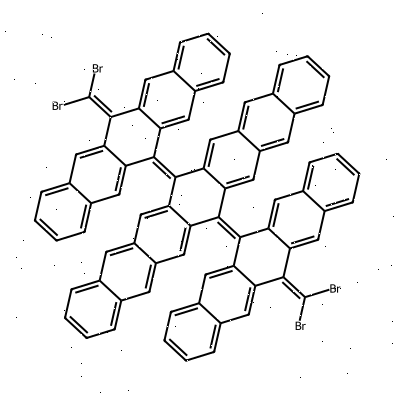 BrC(Br)=c1c2cc3ccccc3cc2c(=c2c3cc4cc5ccccc5cc4cc3c(=c3c4cc5ccccc5cc4c(=C(Br)Br)c4cc5ccccc5cc34)c3cc4cc5ccccc5cc4cc23)c2cc3ccccc3cc12